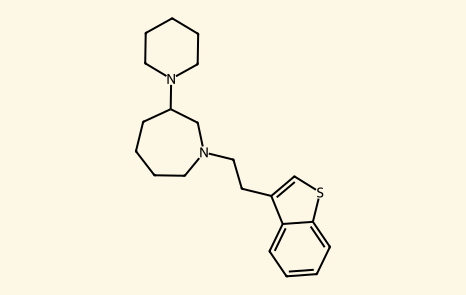 c1ccc2c(CCN3CCCCC(N4CCCCC4)C3)csc2c1